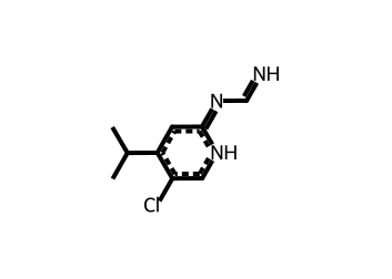 CC(C)c1c/c(=N/C=N)[nH]cc1Cl